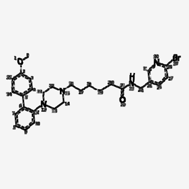 COc1ccc(-c2ccccc2N2CCN(CCCCCC(=O)NCc3ccc(Br)nc3)CC2)cc1